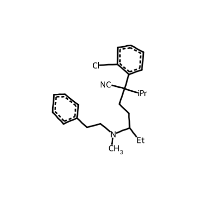 CCC(CCC(C#N)(c1ccccc1Cl)C(C)C)N(C)CCc1ccccc1